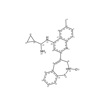 Cc1ccc2nc(C3=Cc4ccccc4S[NH+]([O-])C3)cc(NC(N)C3CC3)c2c1